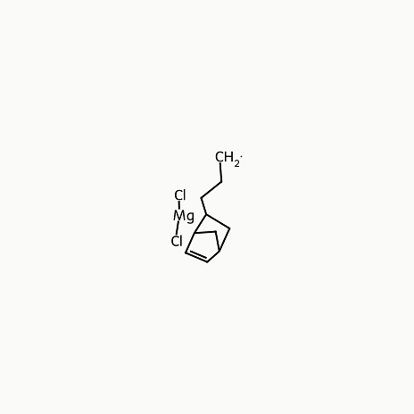 [CH2]CCC1CC2C=CC1C2.[Cl][Mg][Cl]